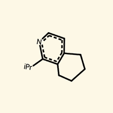 CC(C)c1nccc2c1CCCC2